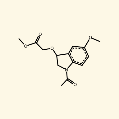 COC(=O)COC1CN(C(C)=O)c2ccc(OC)cc21